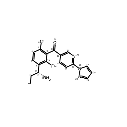 CC[C@@H](N)c1ccc(Cl)c(C(=O)c2ccc(-n3cccn3)nc2)c1F